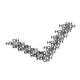 O[Si](O)(O)O.O[Si](O)(O)O.O[Si](O)(O)O.O[Si](O)(O)O.O[Si](O)(O)O.O[Si](O)(O)O.O[Si](O)(O)O.O[Si](O)(O)O.O[Si](O)(O)O.O[Si](O)(O)O.O[Si](O)(O)O.O[Si](O)(O)O